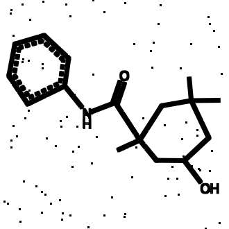 CC1(C)CC(O)CC(C)(C(=O)Nc2ccccc2)C1